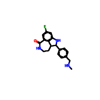 CNCc1ccc(C2Nc3cc(F)cc4c3C2CCNC4=O)cc1